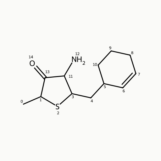 CC1SC(CC2C=CCCC2)C(N)C1=O